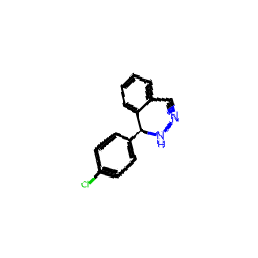 Clc1ccc([C@@H]2NN=Cc3ccccc32)cc1